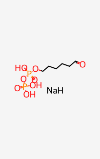 O=CCCCCCOP(=O)(O)OP(=O)(O)O.[NaH]